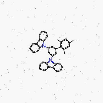 Cc1cc(C)c(-c2cc(-n3c4ccccc4c4ccccc43)cc(-n3c4ccccc4c4ccccc43)c2)c(C)c1